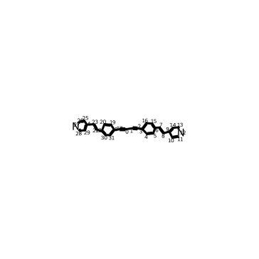 C(C#Cc1ccc(/C=C/c2ccncc2)cc1)#Cc1ccc(/C=C/c2ccncc2)cc1